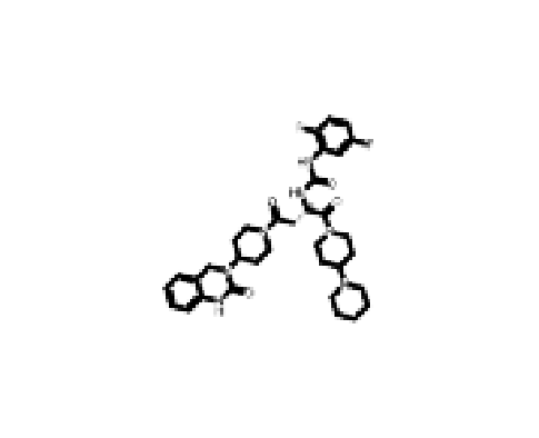 O=C(Nc1cc(F)ccc1F)N[C@@H](CC(=O)N1CCC(N2Cc3ccccc3NC2=O)CC1)C(=O)N1CCC(N2CCCCC2)CC1